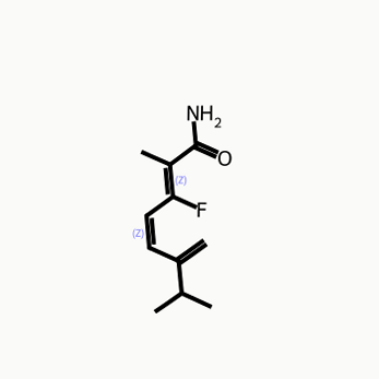 C=C(/C=C\C(F)=C(/C)C(N)=O)C(C)C